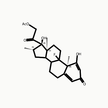 CC(=O)OCC(=O)[C@@]1(O)[C@@H](C)CC2C3CCC4=CC(=O)C=C(O)[C@]4(C)C3(F)CC[C@@]21C